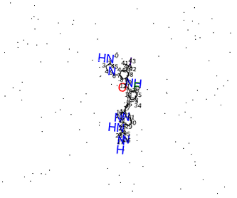 CNC1CCN(Cc2cc(NC(=O)c3cc(C#Cc4cnc5c(Nc6cn[nH]c6)cccn45)c(C)cc3F)cc(C(C)(C)I)c2)C1